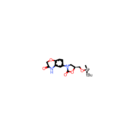 CC(C)(C)[Si](C)(C)OC[C@@H]1CN(c2ccc3c(c2)NC(=O)CO3)C(=O)O1